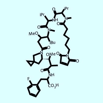 CCC(C)C(C(CC(=O)N1CC2(CC2)C[C@H]1C(OC)C(C)C(=O)NC(Cc1ccccc1F)C(=O)O)OC)N(C)C(=O)C(NC(=O)C(C(C)C)N(C)C(=O)CCCCCN1C(=O)C=CC1=O)C(C)C